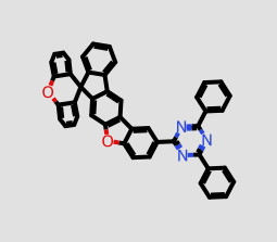 c1ccc(-c2nc(-c3ccccc3)nc(-c3ccc4oc5cc6c(cc5c4c3)-c3ccccc3C63c4ccccc4Oc4ccccc43)n2)cc1